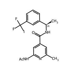 CC(=O)Nc1cc(C(=O)N[C@H](C)c2cccc(C(F)(F)I)c2)cc(C)n1